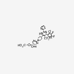 CCOC(=O)C1=C(C2CCN(c3ncc([C@]4(O)C[C@H](C(=O)O)C4)cn3)CC2)NC(c2nccs2)=NC1c1ccc(F)c(F)c1Cl